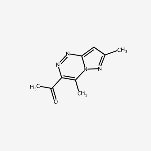 CC(=O)c1nnc2cc(C)nn2c1C